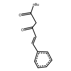 CCCCC(=O)CC(=O)/C=C/c1ccccc1